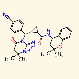 CC1(C)CC(=O)N(C(c2ccc(C#N)cc2)[C@@H]2C[C@H]2C(=O)N[C@@H]2CC(C)(C)Oc3ccccc32)C(=N)N1